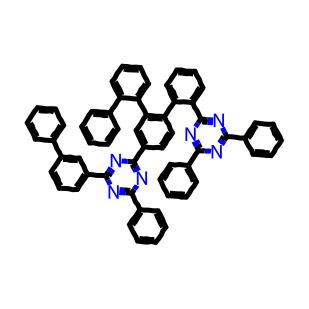 c1ccc(-c2cccc(-c3nc(-c4ccccc4)nc(-c4ccc(-c5ccccc5-c5nc(-c6ccccc6)nc(-c6ccccc6)n5)c(-c5ccccc5-c5ccccc5)c4)n3)c2)cc1